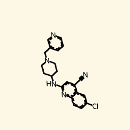 N#Cc1cc(NC2CCN(Cc3cccnc3)CC2)nc2ccc(Cl)cc12